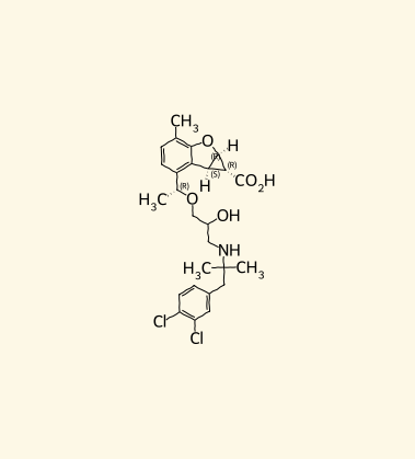 Cc1ccc([C@@H](C)OCC(O)CNC(C)(C)Cc2ccc(Cl)c(Cl)c2)c2c1O[C@H]1[C@H](C(=O)O)[C@@H]21